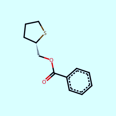 O=C(OC[C@@H]1CCCS1)c1ccccc1